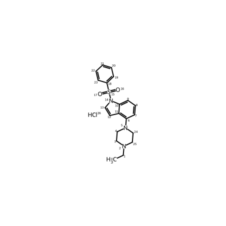 CCN1CCN(c2cccc3c2ccn3S(=O)(=O)c2ccccc2)CC1.Cl